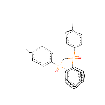 Cc1ccc(P(=O)(CP(=O)(c2ccccc2)c2ccc(C)cc2)c2ccccc2)cc1